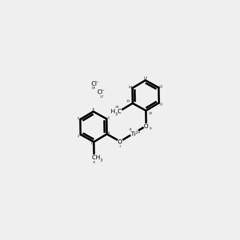 Cc1ccccc1[O][Ti+2][O]c1ccccc1C.[Cl-].[Cl-]